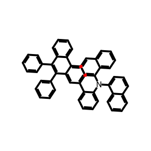 c1ccc(-c2c(-c3ccccc3)c3cc(-c4ccccc4N(c4cccc5ccccc45)c4cccc5ccccc45)ccc3c3ccccc23)cc1